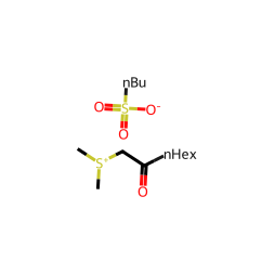 CCCCCCC(=O)C[S+](C)C.CCCCS(=O)(=O)[O-]